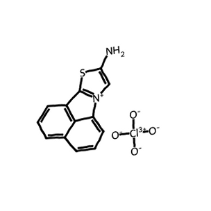 Nc1c[n+]2c(s1)-c1cccc3cccc-2c13.[O-][Cl+3]([O-])([O-])[O-]